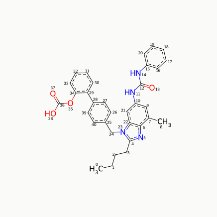 CCCCc1nc2c(C)cc(NC(=O)Nc3ccccc3)cc2n1Cc1ccc(-c2ccccc2OC(=O)O)cc1